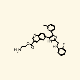 Cc1cccc(-c2nc(CNc3ccccc3F)[nH]c2-c2ccc3ncc(C(=O)OCCN)cc3c2)n1